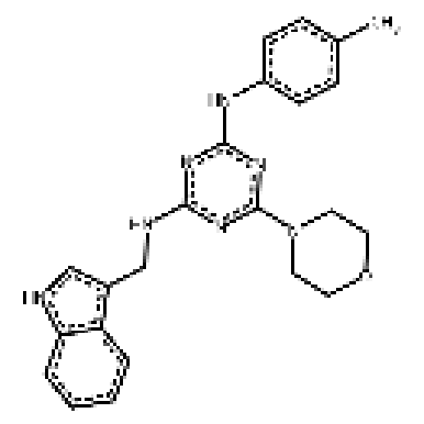 Cc1ccc(Nc2nc(NCc3c[nH]c4ccccc34)nc(N3CCOCC3)n2)cc1